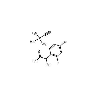 C[Si](C)(C)C#N.O=C(O)C(O)c1ccc(Br)cc1F